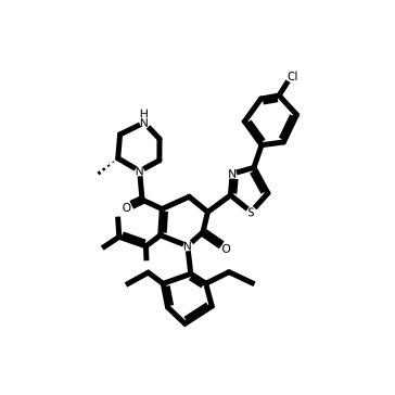 CCc1cccc(CC)c1N1C(=O)C(c2nc(-c3ccc(Cl)cc3)cs2)CC(C(=O)N2CCNC[C@H]2C)=C1C(C)=C(C)C